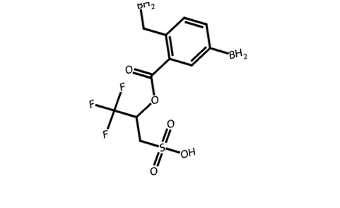 BCc1ccc(B)cc1C(=O)OC(CS(=O)(=O)O)C(F)(F)F